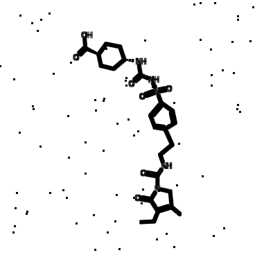 CCC1=C(C)CN(C(=O)NCCc2ccc(S(=O)(=O)NC(=O)N[C@H]3CC[C@H](C(=O)O)CC3)cc2)C1=O